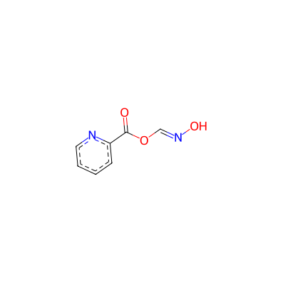 O=C(OC=NO)c1ccccn1